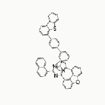 c1ccc(-c2cccc3oc4cccc(-c5nc(-c6cccc(-c7ccc(-c8cccc9c8sc8ccccc89)cc7)c6)nc(-c6cccc7ccccc67)n5)c4c23)cc1